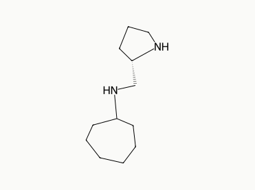 C1CCCC(NC[C@@H]2CCCN2)CC1